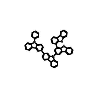 c1ccc(-n2c3ccccc3c3cc(-c4ccc5c6ccccc6n(-c6cc(-c7cccc8c7sc7ccccc78)c7sc8ccccc8c7c6)c5c4)ccc32)cc1